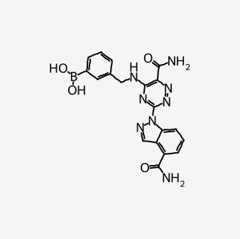 NC(=O)c1nnc(-n2ncc3c(C(N)=O)cccc32)nc1NCc1cccc(B(O)O)c1